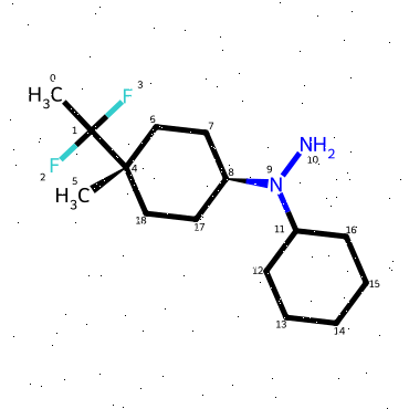 CC(F)(F)[C@]1(C)CC[C@@H](N(N)C2CCCCC2)CC1